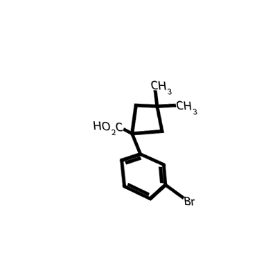 CC1(C)CC(C(=O)O)(c2cccc(Br)c2)C1